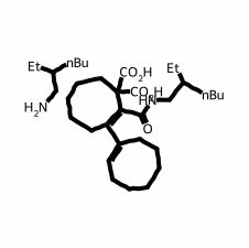 CCCCC(CC)CN.CCCCC(CC)CNC(=O)C1=C(C2=CCCCCCC2)CCCCCC1(C(=O)O)C(=O)O